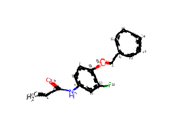 C=CC(=O)Nc1ccc(OCc2ccccc2)c(F)c1